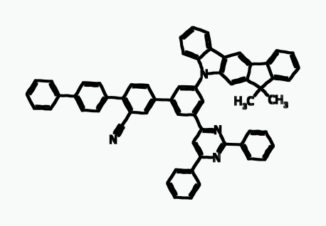 CC1(C)c2ccccc2-c2cc3c4ccccc4n(-c4cc(-c5ccc(-c6ccc(-c7ccccc7)cc6)c(C#N)c5)cc(-c5cc(-c6ccccc6)nc(-c6ccccc6)n5)c4)c3cc21